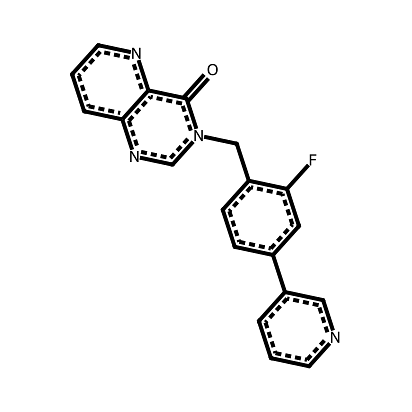 O=c1c2ncccc2ncn1Cc1ccc(-c2cccnc2)cc1F